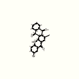 Cc1cc2c(=O)c3cc(Br)ccc3[nH]c2c2c1C(=O)c1ccccc1C2=O